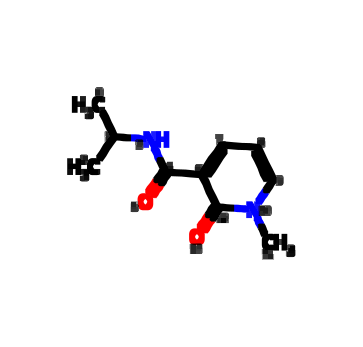 CC(C)NC(=O)c1cccn(C)c1=O